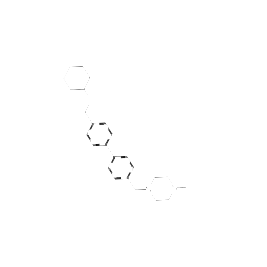 CN1CCN(Cc2ccc(-c3ccc(COC4CCCCC4)cc3)cc2)CC1